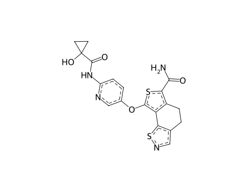 NC(=O)c1sc(Oc2ccc(NC(=O)C3(O)CC3)nc2)c2c1CCc1cnsc1-2